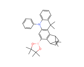 CC1(C)c2ccccc2N(c2ccccc2)c2cc(B3OC(C)(C)C(C)(C)O3)c3c(c21)C1C=CC3C1(C)C